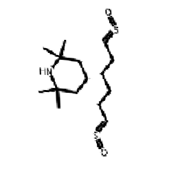 CC1(C)[CH][CH]CC(C)(C)N1.O=S=CCCCCC=S=O